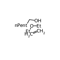 C=C.CCCCCCO.CCOCC